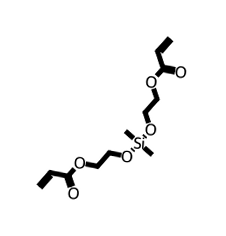 C=CC(=O)OCCO[Si](C)(C)OCCOC(=O)C=C